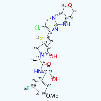 C=N/C(=N\C(=C(/C)Cl)c1cc2c(s1)CN([C@H](C)C(=O)N[C@H](CO)c1cc(F)cc(OC)c1)C2O)NC1CCOCC1